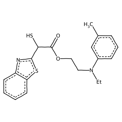 CCN(CCOC(=O)C(S)c1nc2ccccc2s1)c1cccc(C)c1